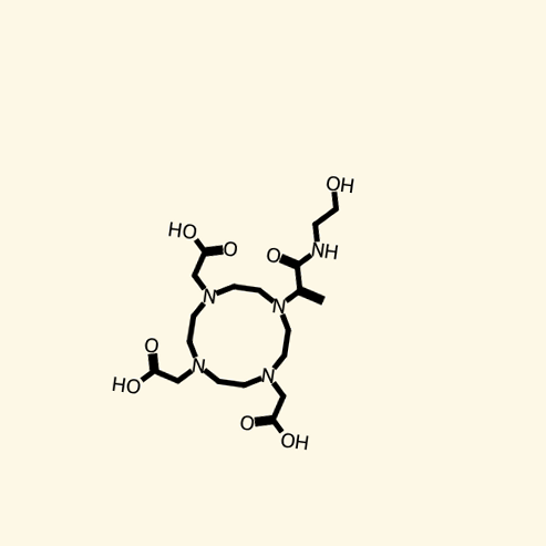 C=C(C(=O)NCCO)N1CCN(CC(=O)O)CCN(CC(=O)O)CCN(CC(=O)O)CC1